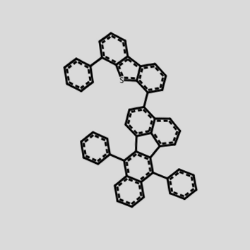 c1ccc(-c2c3c(c(-c4ccccc4)c4ccccc24)-c2ccc(-c4cccc5c4sc4c(-c6ccccc6)cccc45)c4cccc-3c24)cc1